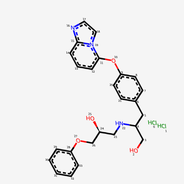 Cl.Cl.OCC(Cc1ccc(Oc2cccc3nccn23)cc1)NC[C@H](O)COc1ccccc1